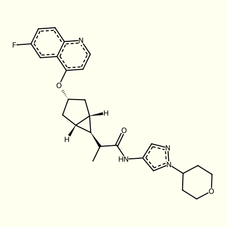 CC(C(=O)Nc1cnn(C2CCOCC2)c1)[C@H]1[C@@H]2C[C@H](Oc3ccnc4ccc(F)cc34)C[C@@H]21